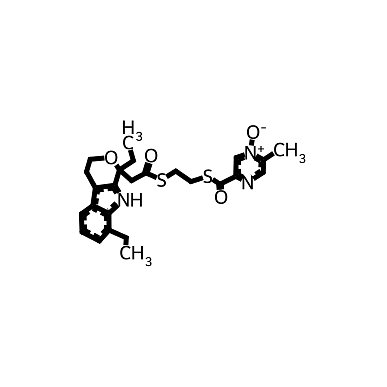 CCc1cccc2c3c([nH]c12)C(CC)(CC(=O)SCCSC(=O)c1c[n+]([O-])c(C)cn1)OCC3